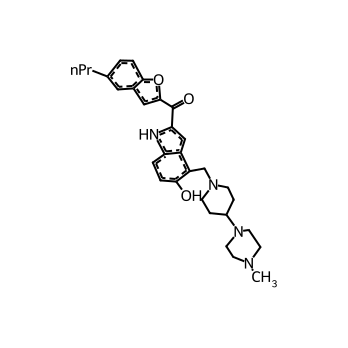 CCCc1ccc2oc(C(=O)c3cc4c(CN5CCC(N6CCN(C)CC6)CC5)c(O)ccc4[nH]3)cc2c1